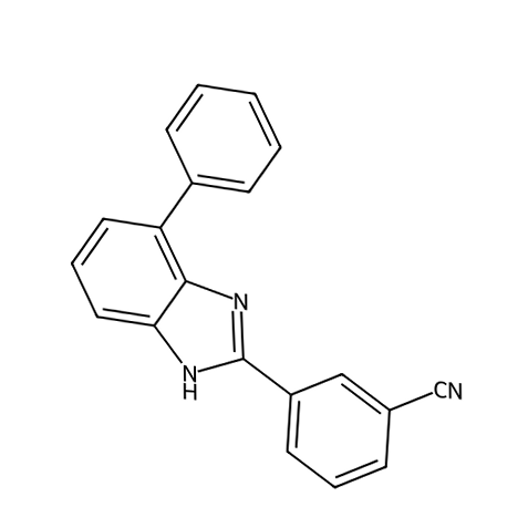 N#Cc1cccc(-c2nc3c(-c4ccccc4)cccc3[nH]2)c1